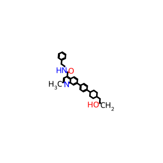 C=C(O)CC1CCC(c2ccc(-c3ccc4c(C(=O)NCCc5ccccc5)cc(C)nc4c3)cc2)CC1